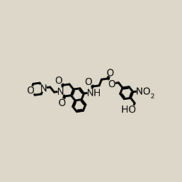 O=C(CCC(=O)OCc1ccc(CO)c([N+](=O)[O-])c1)Nc1cc2c(c3ccccc13)C(=O)N(CCN1CCOCC1)C(=O)C2